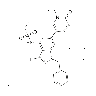 CCS(=O)(=O)Nc1cc(-c2cc(C)c(=O)n(C)c2)cc2c1c(F)nn2Cc1ccccc1